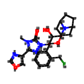 Cn1c(-c2cocn2)nn(CC(O)CN2C3CCC2CC(OCc2ccccc2CF)C3)c1=O